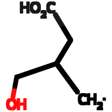 [CH2]C(CO)CC(=O)O